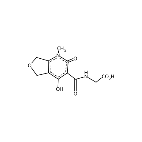 Cn1c2c(c(O)c(C(=O)NCC(=O)O)c1=O)COC2